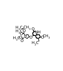 C=Cc1cc2c(O[C@@H]3C[C@@H](C(=O)OC)N(C(=O)OC(C)(C)C)C3)cc(=O)[nH]c2cc1OC